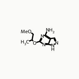 COCC(C)Oc1nc(N)c2cn[nH]c2n1